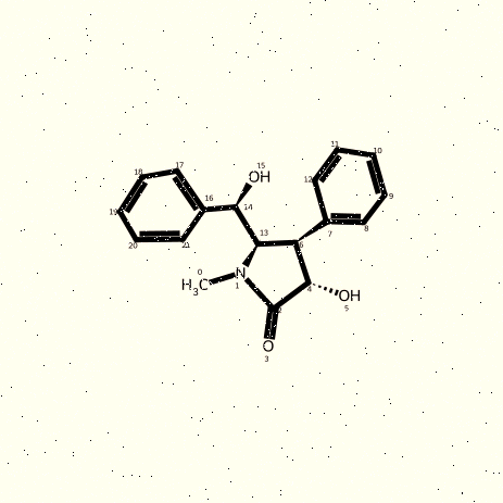 CN1C(=O)[C@@H](O)[C@H](c2ccccc2)[C@@H]1[C@H](O)c1ccccc1